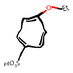 [CH2]COc1ccc(S(=O)(=O)O)cc1